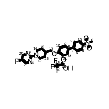 CS(=O)(=O)c1ccc(-c2ccc(OCC3CCN(c4ncc(F)cn4)CC3)cc2)cc1.O=C(O)C(F)(F)F